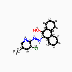 Oc1c(N=Nc2ncc(C(F)(F)F)cc2Cl)c2ccccc2c2ccccc12